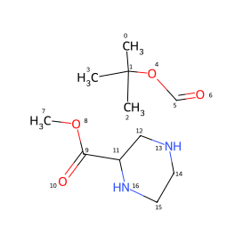 CC(C)(C)OC=O.COC(=O)C1CNCCN1